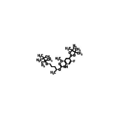 COc1cc(B2OC(C)(C)C(C)(C)O2)c(F)cc1NC(=O)OC(C)CCCO[Si](C)(C)C(C)(C)C